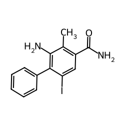 Cc1c(C(N)=O)cc(I)c(-c2ccccc2)c1N